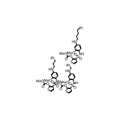 COC(=O)Oc1sccc1S(=O)(=O)Nc1ccc(NCC(C)C)cc1OC.COC(=O)Oc1sccc1S(=O)(=O)Nc1ccc(NCCCC(C)C)cc1OC.COC(=O)Oc1sccc1S(=O)(=O)Nc1ccc(NCCCCC(C)C)cc1OC